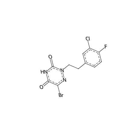 O=c1[nH]c(=O)n(CCc2ccc(F)c(Cl)c2)nc1Br